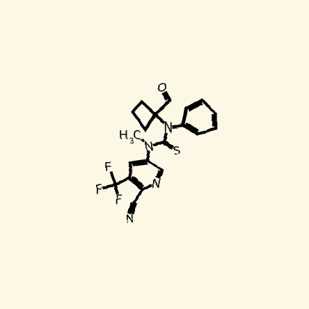 CN(C(=S)N(c1ccccc1)C1(C=O)CCC1)c1cnc(C#N)c(C(F)(F)F)c1